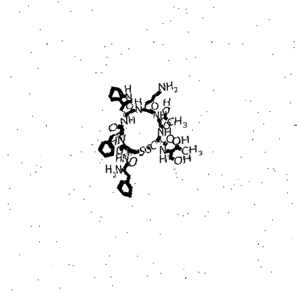 CC(O)C(CO)NC(=O)[C@@H]1CSSC[C@H](NC(=O)C(N)Cc2ccccc2)C(=O)N[C@@H](Cc2ccccc2)C(=O)N[C@H](Cc2c[nH]c3ccccc23)C(=O)N[C@@H](CCCCN)C(=O)N[C@@H](C(C)O)C(=O)N1